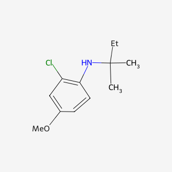 CCC(C)(C)Nc1ccc(OC)cc1Cl